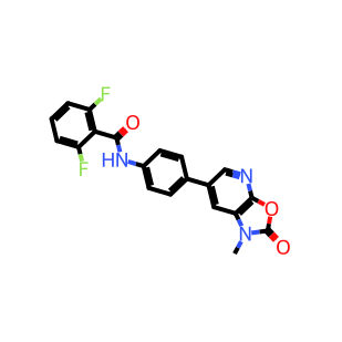 Cn1c(=O)oc2ncc(-c3ccc(NC(=O)c4c(F)cccc4F)cc3)cc21